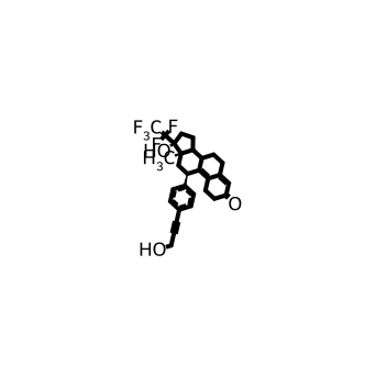 C[C@]12C[C@H](c3ccc(C#CCO)cc3)C3=C4CCC(=O)C=C4CCC3C1CC[C@@]2(O)C(F)(F)C(F)(F)F